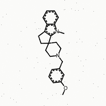 COc1cccc(CN2CCC3(CCc4c3n(C)c3ccccc43)CC2)c1